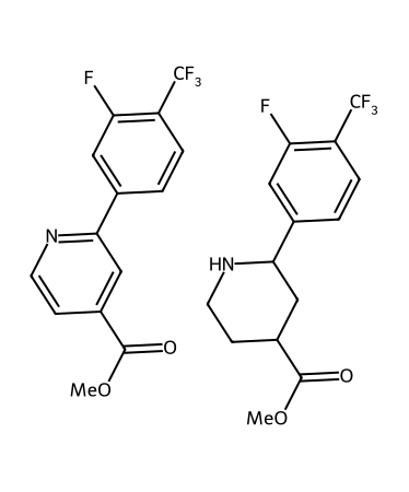 COC(=O)C1CCNC(c2ccc(C(F)(F)F)c(F)c2)C1.COC(=O)c1ccnc(-c2ccc(C(F)(F)F)c(F)c2)c1